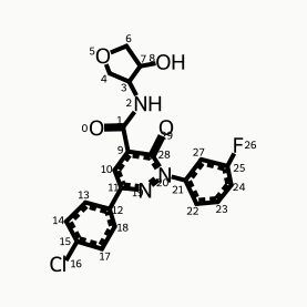 O=C(NC1COCC1O)c1cc(-c2ccc(Cl)cc2)nn(-c2cccc(F)c2)c1=O